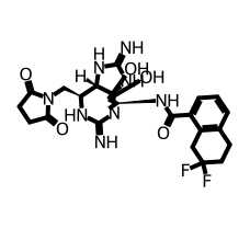 N=C1N[C@H]2[C@H](CN3C(=O)CCC3=O)NC(=N)N3C[C@H](NC(=O)c4cccc5c4CC(F)(F)CC5)C(O)(O)[C@]23N1